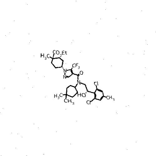 CCOC(=O)[C@]1(C)CC[C@@H](n2ncc(C(=O)N(C[C@@H](O)c3c(Cl)cc(C)cc3Cl)C3CCC(C)(C)CC3)c2C(F)(F)F)CC1